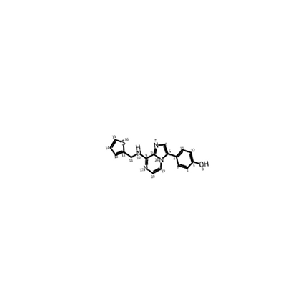 Oc1ccc(-c2cnc3c(NCc4cccs4)nccn23)cc1